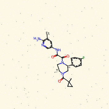 CCc1cc(NC(=O)C(=O)N2C[C@@H](C)N(C(=O)C3(C)CC3)C[C@@H]2c2ccc(F)cc2)cnc1N